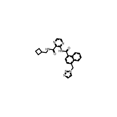 O=C(NCC1CCC1)c1nccnc1NC(=O)c1ccc(Cn2ccnn2)c2ccccc12